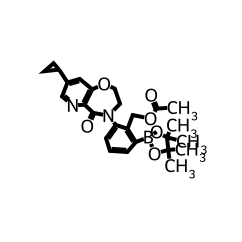 CC(=O)OCc1c(B2OC(C)(C)C(C)(C)O2)cccc1N1CCOc2cc(C3CC3)cnc2C1=O